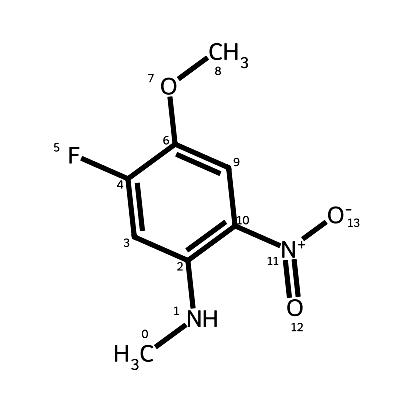 CNc1cc(F)c(OC)cc1[N+](=O)[O-]